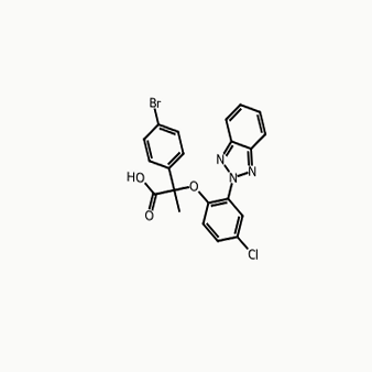 CC(Oc1ccc(Cl)cc1-n1nc2ccccc2n1)(C(=O)O)c1ccc(Br)cc1